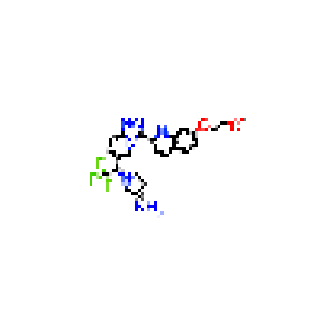 COCCOc1ccc2ccc(-c3nnc4ccc([C@@H](N5CC[C@H](N)C5)C(F)(F)F)cn34)nc2c1